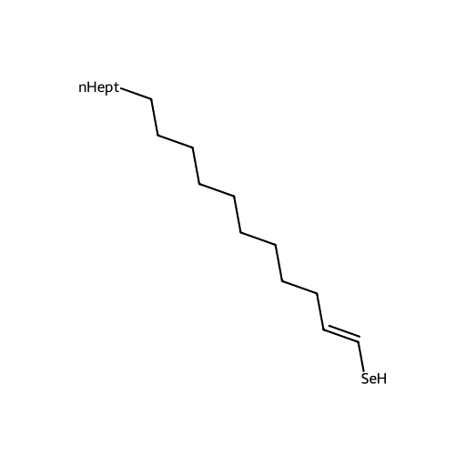 CCCCCCCCCCCCCCCCC=C[SeH]